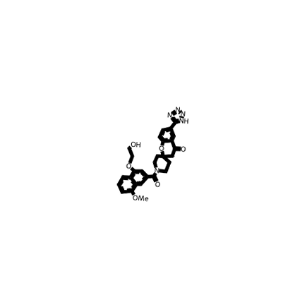 COc1cccc2c(OCCO)cc(C(=O)N3CCC4([CH]C(=O)c5cc(-c6nnn[nH]6)ccc5O4)CC3)cc12